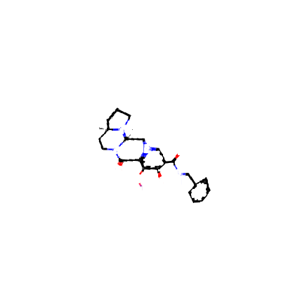 O=C(NCc1ccccc1)c1cn2c(c(OP)c1=O)C(=O)N1CC[C@@H]3CCCN3[C@@H]1C2